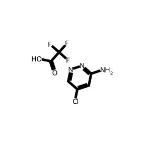 Nc1cc(Cl)cnn1.O=C(O)C(F)(F)F